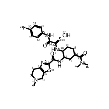 CN1CCc2nc(C(=O)NC3CC(C(=O)N(C)C)CCC3NC(=S)C(=O)Nc3ccc(F)cc3)sc2C1.Cl